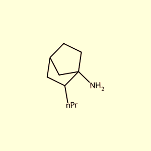 CCCC1CC2CCC1(N)C2